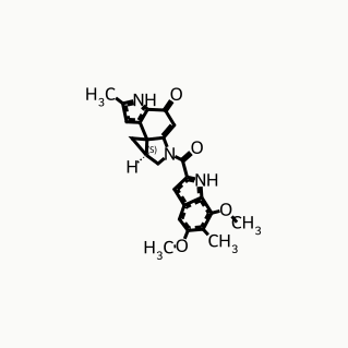 COc1cc2cc(C(=O)N3C[C@H]4CC45C3=CC(=O)c3[nH]c(C)cc35)[nH]c2c(OC)c1C